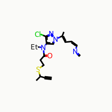 C#CC(C)SCCC(=O)N(CC)c1cn(/C(C)=C/C=C\N=C)nc1Cl